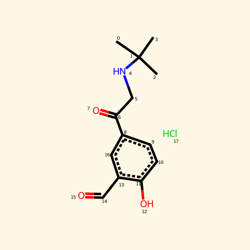 CC(C)(C)NCC(=O)c1ccc(O)c(C=O)c1.Cl